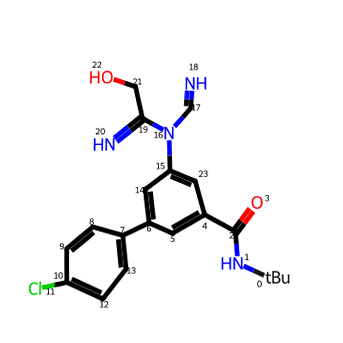 CC(C)(C)NC(=O)c1cc(-c2ccc(Cl)cc2)cc(N(C=N)C(=N)CO)c1